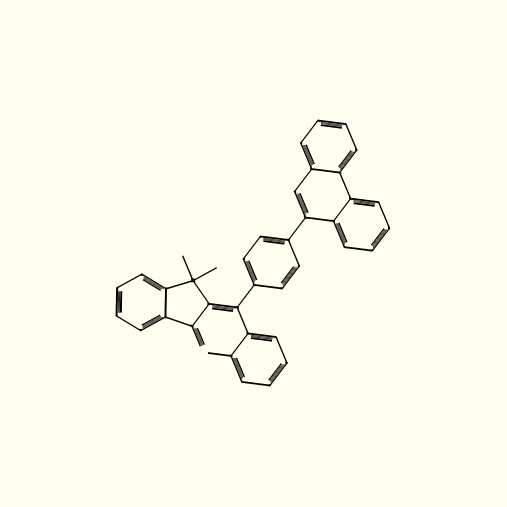 CC1(C)c2ccccc2-c2nc3ccccc3c(-c3ccc(-c4cc5ccccc5c5ccccc45)cc3)c21